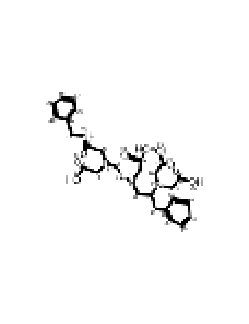 O=C(O)CN(CCN(CC(=O)O)CC(Cc1ccccc1)N(CC(=O)O)CC(=O)O)CC(=O)NCc1ccccc1